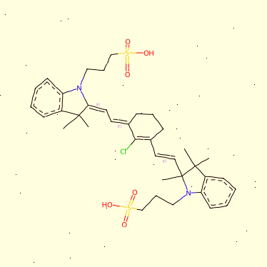 CC1(C)/C(=C\C=C2/CCCC(/C=C/C3(C)N(CCCS(=O)(=O)O)c4ccccc4C3(C)C)=C2Cl)N(CCCS(=O)(=O)O)c2ccccc21